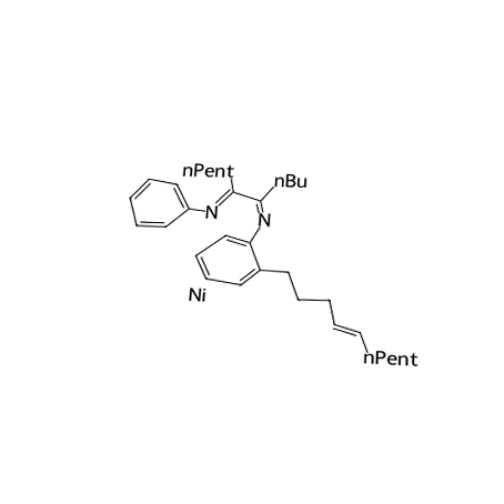 CCCCCC=CCCCc1ccccc1N=C(CCCC)C(CCCCC)=Nc1ccccc1.[Ni]